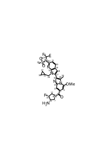 COc1cc(C(=O)N2C[C@H](N)[C@@H](F)C2)cc2nc(-c3cc4ccc(N(C(F)F)S(C)(=O)=O)nc4n3CC3CC3)c(C)n12